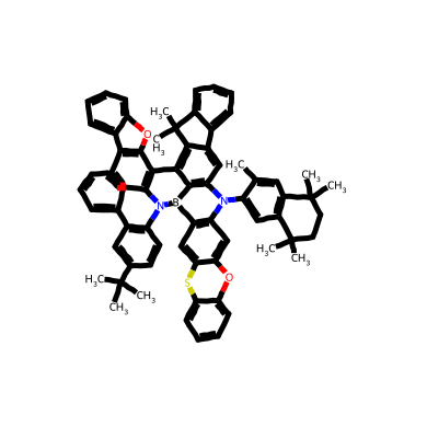 Cc1cc2c(cc1N1c3cc4c(cc3B3c5c1cc1c(c5-c5c(ccc6c5oc5ccccc56)N3c3ccc(C(C)(C)C)cc3-c3ccccc3)C(C)(C)c3ccccc3-1)Sc1ccccc1O4)C(C)(C)CCC2(C)C